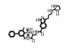 Cc1cc(-c2ccccc2)cc(C)c1S(=O)(=O)NC(CNC(=O)c1ccc2c(CCCNC3NCCN3)n[nH]c2c1)C(=O)O